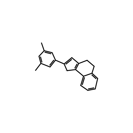 Cc1cc(C)cc(C2=CC3=C([CH]2)c2ccccc2CC3)c1